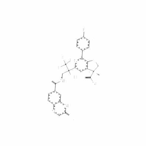 C[C@]1(C(N)=O)COc2c1cc(C(O)(CNC(=O)c1ccc3ncc(=O)[nH]c3c1)C(F)(F)F)nc2-c1ccc(F)cc1